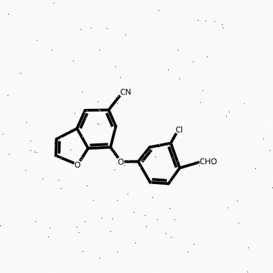 N#Cc1cc(Oc2ccc(C=O)c(Cl)c2)c2occc2c1